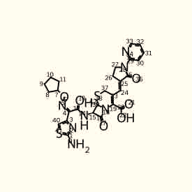 Nc1nc(/C(=N/OC2CCCC2)C(=O)N[C@@H]2C(=O)N3C(C(=O)O)=C(C=C4CCN(c5ccccn5)C4=O)CS[C@H]23)cs1